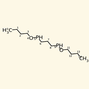 CCCCOPCCCPOCCCC